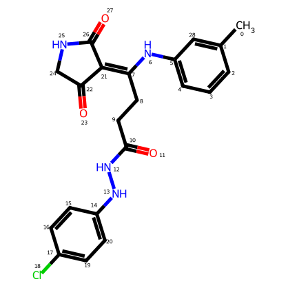 Cc1cccc(NC(CCC(=O)NNc2ccc(Cl)cc2)=C2C(=O)CNC2=O)c1